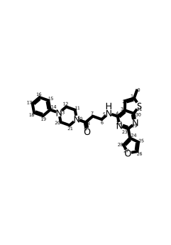 Cc1cc2c(NCCC(=O)N3CCN(c4ccccc4)CC3)nc(-c3ccoc3)nc2s1